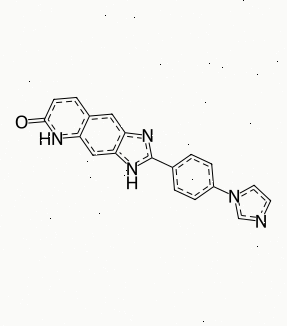 O=c1ccc2cc3nc(-c4ccc(-n5ccnc5)cc4)[nH]c3cc2[nH]1